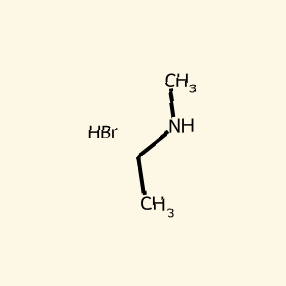 Br.CCNC